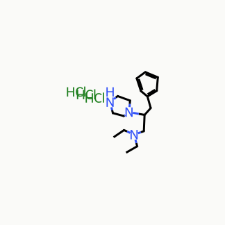 CCN(CC)CC(Cc1ccccc1)N1CCNCC1.Cl.Cl.Cl